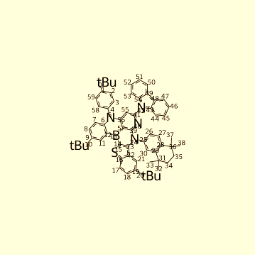 CC(C)(C)c1ccc(N2c3ccc(C(C)(C)C)cc3B3c4sc5ccc(C(C)(C)C)cc5c4N(c4ccc5c(c4)C(C)(C)CCC5(C)C)c4nc(-n5c6ccccc6c6ccccc65)cc2c43)cc1